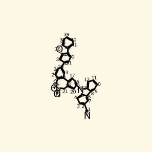 N#Cc1ccc2c(c1)c1ccccc1n2-c1ccc2c(c1)CS(=O)(=O)Cc1ccc(-c3ccc4c(c3)oc3ccccc34)cc1-2